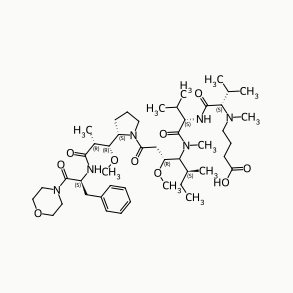 CC[C@H](C)C([C@@H](CC(=O)N1CCC[C@H]1[C@H](OC)[C@@H](C)C(=O)N[C@@H](Cc1ccccc1)C(=O)N1CCOCC1)OC)N(C)C(=O)[C@@H](NC(=O)[C@H](C(C)C)N(C)CCCC(=O)O)C(C)C